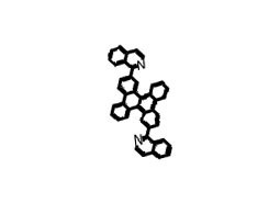 c1ccc2c(-c3ccc4c5ccccc5c5c6cc(-c7nccc8ccccc78)ccc6c6ccccc6c5c4c3)nccc2c1